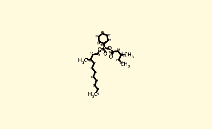 CCCCCCCCC(C)CCOP(=O)(OC(=O)CC(C)CC)C1CCCCC1